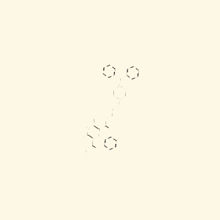 COC(=O)C1=C(C)NC(C)=C(C(=O)OCCCN2CCN(C(c3ccccc3)c3ccccc3)CC2)C1c1cccc(Cl)c1